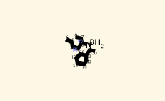 BN(C(/C=C\C=C)=C/C)C(C)c1ccccc1